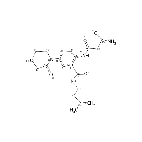 CN(C)CCNC(=O)c1cc(N2CCOCC2=O)ccc1NC(=O)CC(N)=O